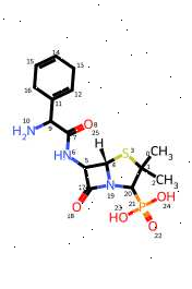 CC1(C)S[C@H]2C(NC(=O)C(N)C3=CCC=CC3)C(=O)N2C1P(=O)(O)O